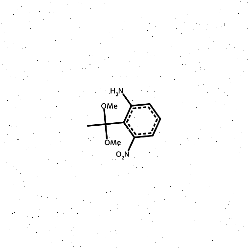 COC(C)(OC)c1c(N)cccc1[N+](=O)[O-]